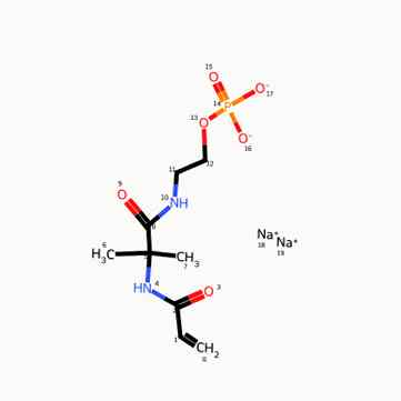 C=CC(=O)NC(C)(C)C(=O)NCCOP(=O)([O-])[O-].[Na+].[Na+]